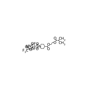 C=C(C)C(=O)OCCOC(=O)C1CCN(S(=O)(=O)C(F)(F)S(=O)(=O)NS(=O)(=O)C(F)(F)F)CC1